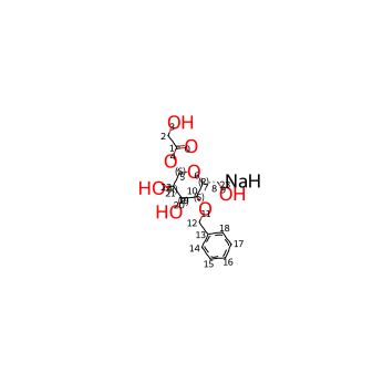 O=C(CO)O[C@@H]1O[C@H](CO)[C@@H](OCc2ccccc2)[C@H](O)[C@H]1O.[NaH]